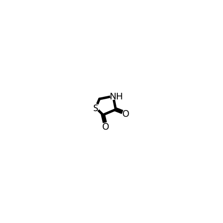 O=C1NCSC1=O